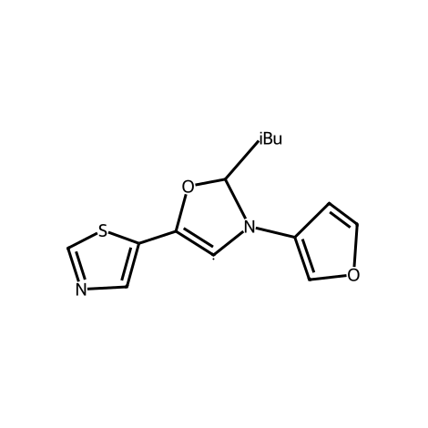 CCC(C)C1OC(c2cncs2)=[C]N1c1ccoc1